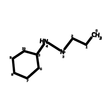 CCC[N]NC1CCCCC1